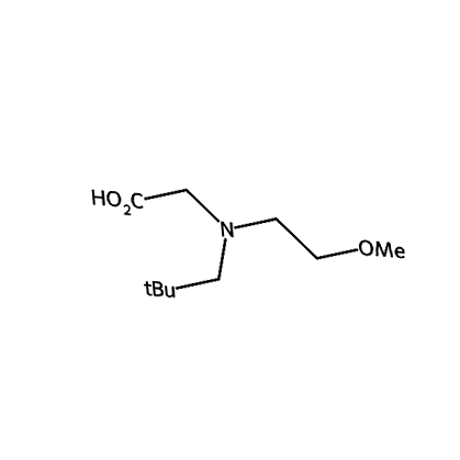 COCCN(CC(=O)O)CC(C)(C)C